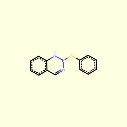 C1=NN(Sc2ccccc2)Nc2ccccc21